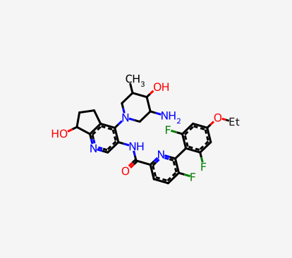 CCOc1cc(F)c(-c2nc(C(=O)Nc3cnc4c(c3N3CC(C)C(O)C(N)C3)CCC4O)ccc2F)c(F)c1